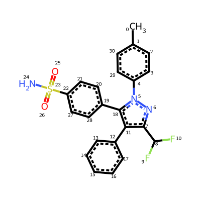 Cc1ccc(-n2nc(C(F)F)c(-c3ccccc3)c2-c2ccc(S(N)(=O)=O)cc2)cc1